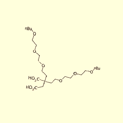 CCCCOCCOCCOCCC(CCOCCOCCOCCCC)(CC(=O)O)C(=O)O